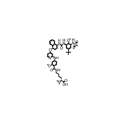 COc1cc(Nc2cc(Oc3ccc(NC(=O)Nc4cc(C(C)(C)C)cc(NS(C)(=O)=O)c4OC)c4ccccc34)ccn2)ccc1C(=O)NCCCC[C@@H](C(=O)O)N(C)C